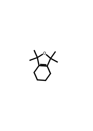 CC1(C)OC(C)(C)C2=C1CCCC2